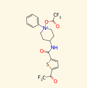 O=C(NC1CC[N+](OC(=O)C(F)(F)F)(c2ccccc2)CC1)c1ccc(C(=O)C(F)(F)F)s1